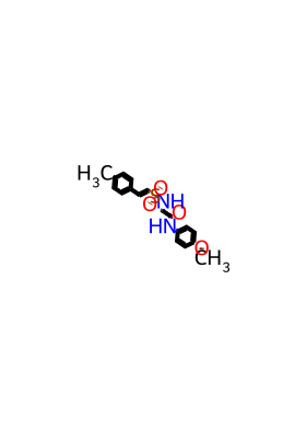 COc1ccc(NC(=O)CNS(=O)(=O)C=Cc2ccc(C)cc2)cc1